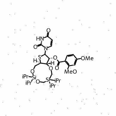 COc1ccc(C(=O)O[C@H]2C(n3ccc(=O)[nH]c3=O)S[C@@H]3CO[Si](C(C)C)(C(C)C)OC[Si](C(C)C)(C(C)C)CO[C@H]32)c(OC)c1